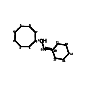 C1CCCCCCC1.ON=C1CCCCC1